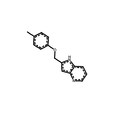 Cc1ccc(OCc2cc3ncccc3[nH]2)cc1